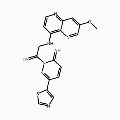 COc1cnc2c(NCC(=N)n3nc(-c4cncs4)ccc3=N)ccnc2c1